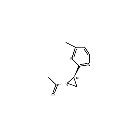 CC(=O)[C@H]1C[C@@H]1c1nccc(C)n1